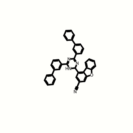 N#Cc1cc(C2N=C(c3cccc(-c4ccccc4)c3)N=C(c3cccc(-c4ccccc4)c3)N2)c2c(c1)oc1ccccc12